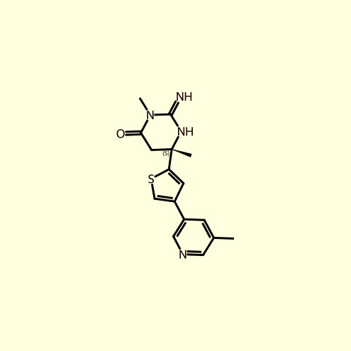 Cc1cncc(-c2csc([C@]3(C)CC(=O)N(C)C(=N)N3)c2)c1